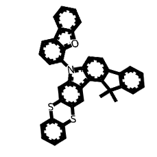 CC1(C)c2ccccc2-c2ccc3c(c21)c1cc2c(cc1n3-c1cccc3c1oc1ccccc13)Sc1ccccc1S2